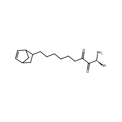 CC(C)[C@H](N)C(=O)C(=O)CCCCCCC1CC2C=CC1C2